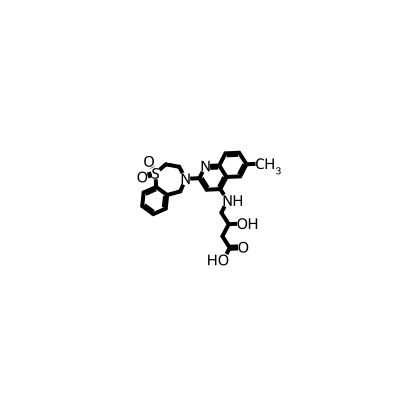 Cc1ccc2nc(N3CCS(=O)(=O)c4ccccc4C3)cc(NCC(O)CC(=O)O)c2c1